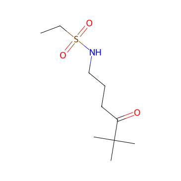 CCS(=O)(=O)NCCCC(=O)C(C)(C)C